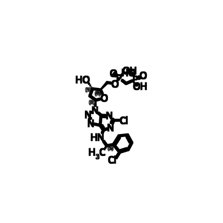 C[C@H](Nc1nc(Cl)nc2c1nnn2[C@H]1C[C@H](O)[C@@H](COP(=O)(O)CP(=O)(O)O)O1)c1ccccc1Cl